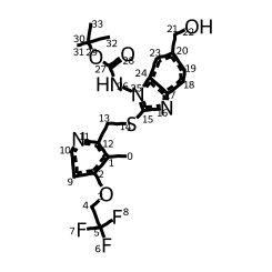 Cc1c(OCC(F)(F)F)ccnc1CSc1nc2ccc(CO)cc2n1NC(=O)OC(C)(C)C